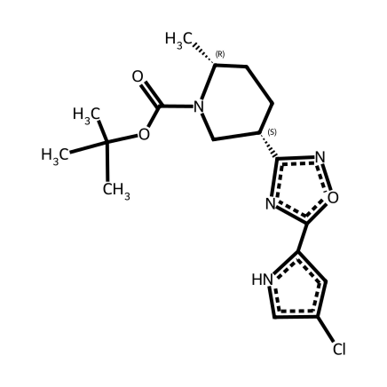 C[C@@H]1CC[C@H](c2noc(-c3cc(Cl)c[nH]3)n2)CN1C(=O)OC(C)(C)C